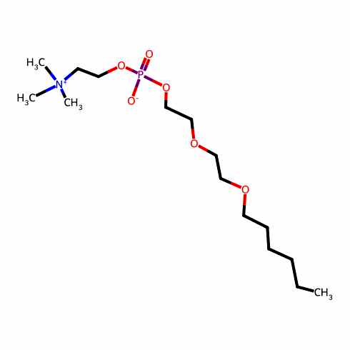 CCCCCCOCCOCCOP(=O)([O-])OCC[N+](C)(C)C